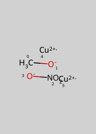 C[O-].O=[N+]([O-])[O-].[Cu+2].[Cu+2]